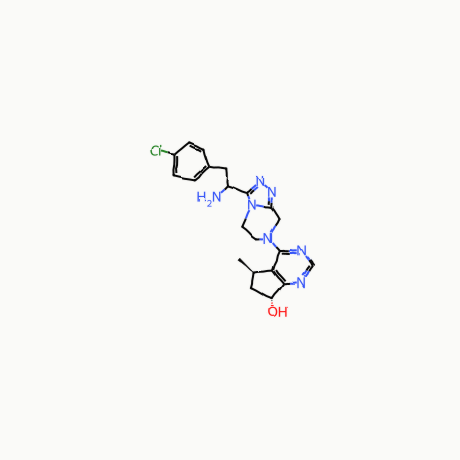 C[C@@H]1C[C@@H](O)c2ncnc(N3CCn4c(nnc4C(N)Cc4ccc(Cl)cc4)C3)c21